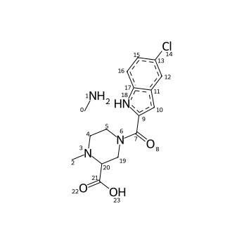 CN.CN1CCN(C(=O)c2cc3cc(Cl)ccc3[nH]2)CC1C(=O)O